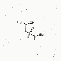 CC(O)CS(=O)(=O)NC(C)(C)C